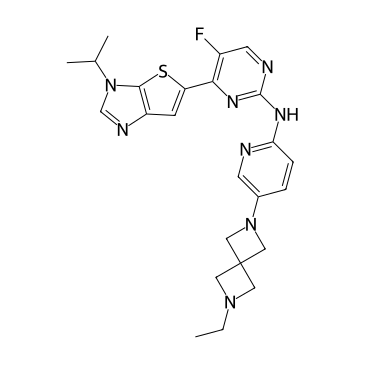 CCN1CC2(C1)CN(c1ccc(Nc3ncc(F)c(-c4cc5ncn(C(C)C)c5s4)n3)nc1)C2